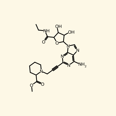 CCNC(=O)C1OC(n2cnc3c(N)nc(C#CCN4CCCCC4C(=O)OC)nc32)C(O)C1O